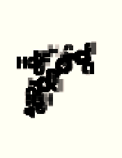 C[C@H](c1cc(Cl)cc(Cl)c1)N1CCC(COc2cc(F)c(C(=O)NS(=O)(=O)C3CC3)cc2Cl)CC1.O=C(O)C(F)(F)F